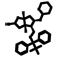 CC(C)(C)[Si](OC[C@H]1[C@@H]2CC(O)O[C@@H]2C[C@H]1OC1CCCCO1)(c1ccccc1)c1ccccc1